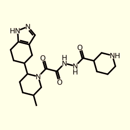 CC1CCC(C2CCc3[nH]ncc3C2)N(C(=O)C(=O)NNC(=O)C2CCCNC2)C1